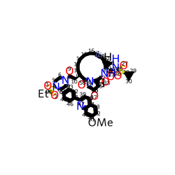 CCS(=O)(=O)N1CCN(C(=O)C[C@H]2CCCCC/C=C\[C@@H]3C[C@@]3(C(=O)NS(=O)(=O)C3CC3)NC(=O)[C@@H]3C[C@@H](Oc4cc(-c5ccccc5)nc5cc(OC)ccc45)CN3C2=O)CC1